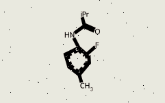 Cc1ccc(NC(=O)C(C)C)c(F)c1